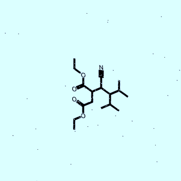 CCOC(=O)CC(C(=O)OCC)C(C#N)C(C(C)C)C(C)C